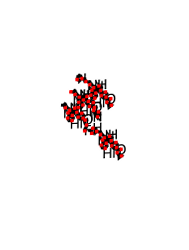 C#CCNC(=O)c1ccc(-c2cnc3c(NCC(C)C)nc4ccccc4n23)cc1.CC(C)CNc1nc2ccccc2n2c(-c3ccc(C(=O)Nc4cc[nH]n4)cc3)cnc12.O=C(NC1CC1)c1ccc(-c2cnc3c(NCCCCN4CCCC4)nc4ccccc4n23)cc1.O=C(NC1CC1)c1ccc(-c2cnc3c(NCCc4ccc(F)cc4)nc4ccccc4n23)cc1